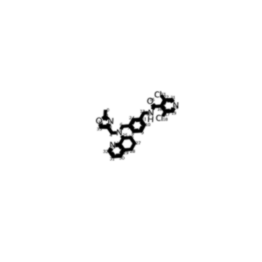 Cc1nc(CN(Cc2cccc(CNC(=O)c3c(Cl)cncc3Cl)c2)C2CCCc3cccnc32)co1